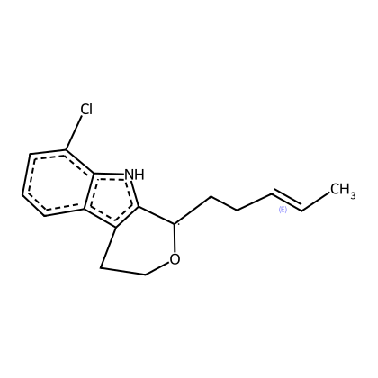 C/C=C/CC[C]1OCCc2c1[nH]c1c(Cl)cccc21